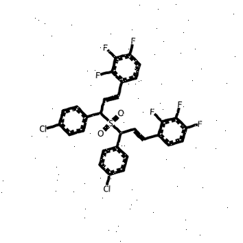 O=S(=O)(C(C=Cc1ccc(F)c(F)c1F)c1ccc(Cl)cc1)C(C=Cc1ccc(F)c(F)c1F)c1ccc(Cl)cc1